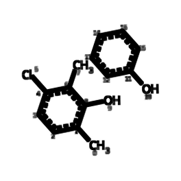 Cc1ccc(Cl)c(C)c1O.Oc1ccccc1